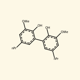 CCCc1cc(OC)c(O)c(-c2cc(CCC)cc(OC)c2O)c1